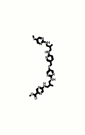 COC(=O)c1cnc(NCC(C)CNc2ncc(SCc3ccc(NCC(C)CNc4ncc(SC)cn4)nc3)cn2)cn1